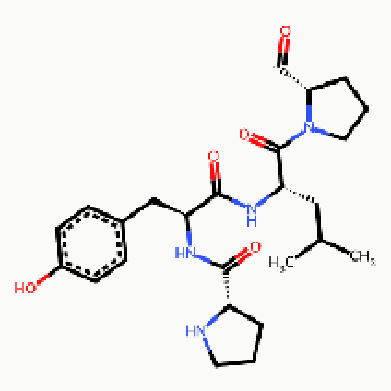 CC(C)C[C@H](NC(=O)[C@H](Cc1ccc(O)cc1)NC(=O)[C@@H]1CCCN1)C(=O)N1CCC[C@H]1[C]=O